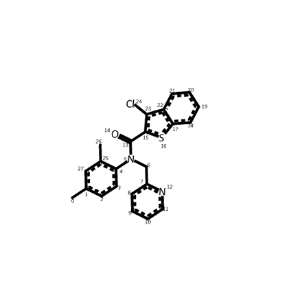 Cc1ccc(N(Cc2ccccn2)C(=O)c2sc3ccccc3c2Cl)c(C)c1